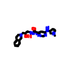 CN1CCC(Nc2cc(C(=O)NCC(O)CN3CCc4ccccc4C3)ncn2)C1